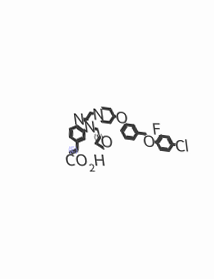 O=C(O)/C=C/c1ccc2nc(CN3CCC(Oc4cccc(COc5ccc(Cl)cc5F)c4)CC3)n(C[C@@H]3CCO3)c2c1